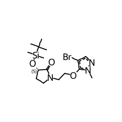 Cn1ncc(Br)c1OCCN1CC[C@H](O[Si](C)(C)C(C)(C)C)C1=O